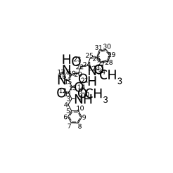 CONC(Cc1ccccc1)C(=O)C(=O)c1nc[nH]c1C(=O)C(=O)C(Cc1ccccc1)NOC